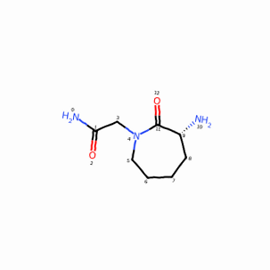 NC(=O)CN1CCCC[C@@H](N)C1=O